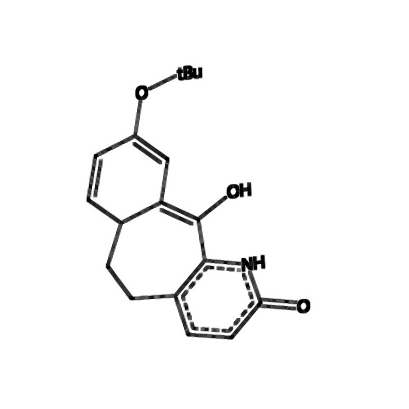 CC(C)(C)OC1=CC2=C(O)c3[nH]c(=O)ccc3CCC2C=C1